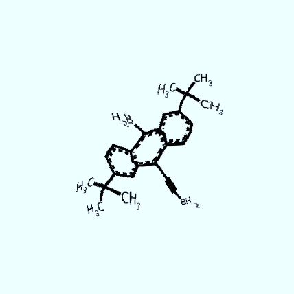 BC#Cc1c2ccc(C(C)(C)C)cc2c(B)c2ccc(C(C)(C)C)cc12